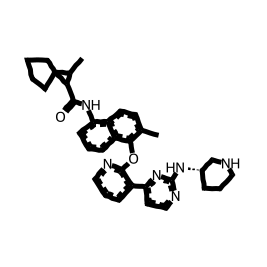 Cc1ccc2c(NC(=O)C3C(C)C34CCCC4)cccc2c1Oc1ncccc1-c1ccnc(N[C@H]2CCCNC2)n1